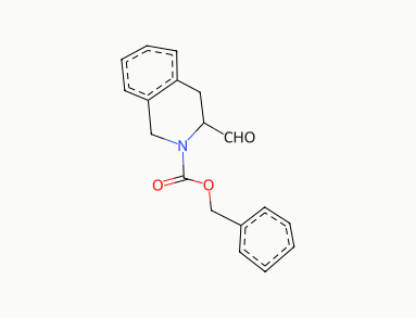 O=CC1Cc2ccccc2CN1C(=O)OCc1ccccc1